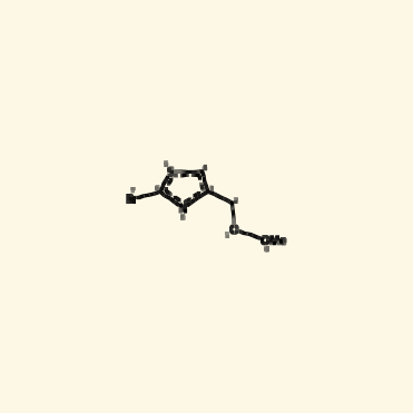 COOCc1csc(Br)n1